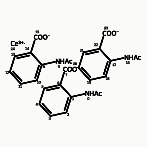 CC(=O)Nc1ccccc1C(=O)[O-].CC(=O)Nc1ccccc1C(=O)[O-].CC(=O)Nc1ccccc1C(=O)[O-].[Ce+3]